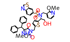 COC(=O)N(Cc1ccc(C(CO)N(Cc2cccnc2OC)S(=O)(=O)c2ccc3ncsc3c2)s1)C(=O)[C@@H](N)C(c1ccccc1)c1ccccc1